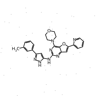 Cc1cccc(-c2cc(Nc3nc(N4CCOCC4)c4oc(-c5ccccn5)cc4n3)[nH]n2)c1